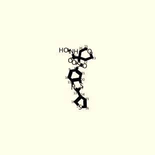 O=C(NO)C1(S(=O)(=O)c2ccc3nc(-c4ccsc4)sc3c2)CCOCC1